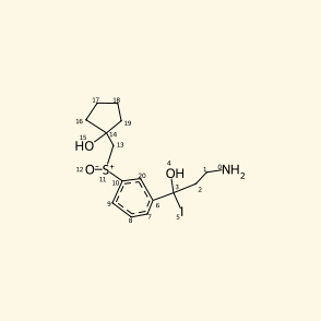 NCCC(O)(I)c1cccc([S+]([O-])CC2(O)CCCC2)c1